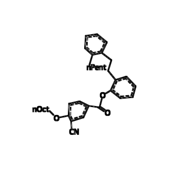 CCCCCCCCOc1ccc(C(=O)Oc2ccccc2CCc2ccccc2CCCCC)cc1C#N